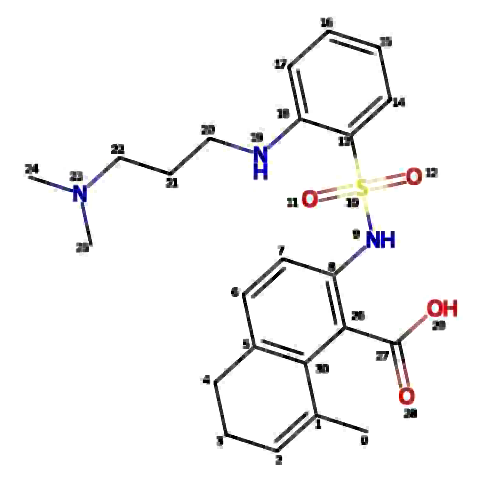 CC1=CCCc2ccc(NS(=O)(=O)c3ccccc3NCCCN(C)C)c(C(=O)O)c21